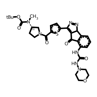 CN(C(=O)OC(C)(C)C)[C@H]1CCN(C(=O)c2ccc(C3=C4C(=O)c5c(NC(=O)NN6CCOCC6)cccc5C4N=N3)s2)C1